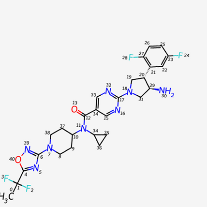 CC(F)(F)c1nc(N2CCC(N(C(=O)c3cnc(N4C[C@H](c5cc(F)ccc5F)[C@@H](N)C4)nc3)C3CC3)CC2)no1